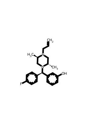 C=CCN1C[C@H](C)N([C@H](c2ccc(F)cc2)c2cccc(O)c2)C[C@H]1C